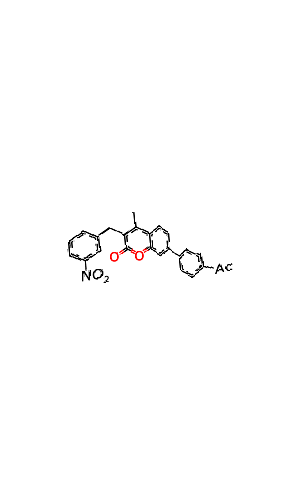 CC(=O)c1ccc(-c2ccc3c(C)c(Cc4cccc([N+](=O)[O-])c4)c(=O)oc3c2)cc1